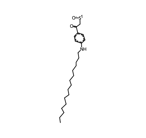 CCCCCCCCCCCCCCCCNc1ccc(C(=O)C[S+](C)[O-])cc1